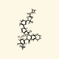 COc1ccc(-c2cc([C@H](OC(=O)NC3CCC3)C(F)(F)F)ccc2F)cc1C(=O)Nc1cc2c(cc1C(=O)Nc1ccc(F)c(C(F)(F)F)c1)CCCC2